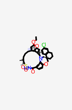 CCOC(=O)/C=C1/CCC[C@H](C)[C@@H](C)S(=O)(=O)NC(=O)c2ccc3c(c2)N(C[C@@H]2CC[C@@H]12)C[C@@]1(CCCc2cc(Cl)ccc21)CO3